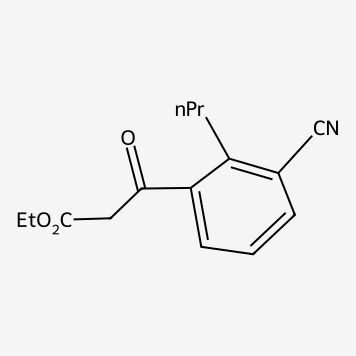 CCCc1c(C#N)cccc1C(=O)CC(=O)OCC